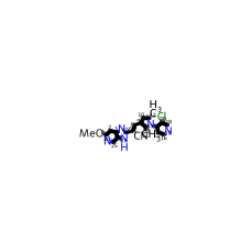 COc1cc2nc(C(C#N)=Cc3cc(C)n(-c4ccncc4Cl)c3C)[nH]c2cn1